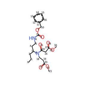 CCCC(CCNC(=O)OCc1ccccc1)N(CCC(=O)OC)C(=O)CC(=O)OC